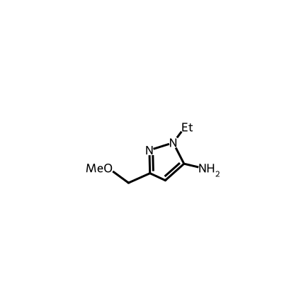 CCn1nc(COC)cc1N